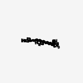 CN(C)CCCCCCCCCCCCCC(=O)O.O